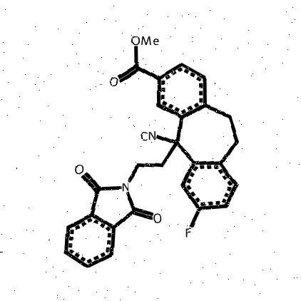 [C-]#[N+]C1(CCN2C(=O)c3ccccc3C2=O)c2cc(F)ccc2CCc2ccc(C(=O)OC)cc21